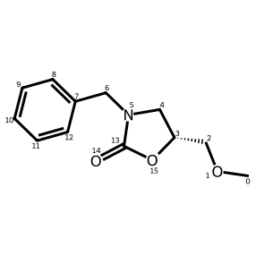 COC[C@H]1CN(Cc2ccccc2)C(=O)O1